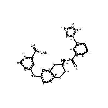 CNC(=O)c1cc(Oc2ccc3c(c2)CC(NC(=O)c2cccc(-n4cnnn4)c2)CC3)ccn1